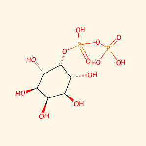 O=P(O)(O)OP(=O)(O)O[C@@H]1[C@H](O)[C@@H](O)[C@@H](O)[C@@H](O)[C@@H]1O